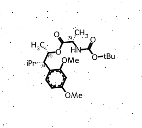 COc1ccc([C@H](C(C)C)[C@H](C)OC(=O)[C@H](C)NC(=O)OC(C)(C)C)c(OC)c1